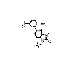 CC(=O)c1ccc(C#N)c(-c2ccc3c(n2)n(C)c(=O)n3CC(C)(C)C)c1